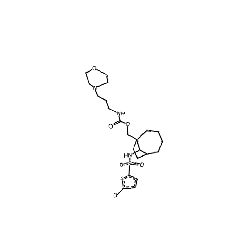 O=C(NCCCN1CCOCC1)OCC12CCCCC(CC1)C2NS(=O)(=O)c1ccc(Cl)s1